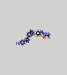 O=C(Nc1nc2ccc(Sc3nnc4ccc(-c5cnn(C6CCNCC6)c5)cn34)cc2s1)C1CC1